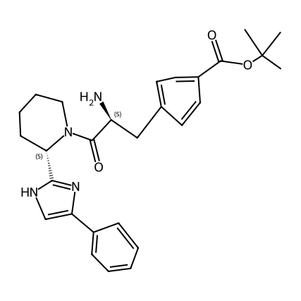 CC(C)(C)OC(=O)c1ccc(C[C@H](N)C(=O)N2CCCC[C@H]2c2nc(-c3ccccc3)c[nH]2)cc1